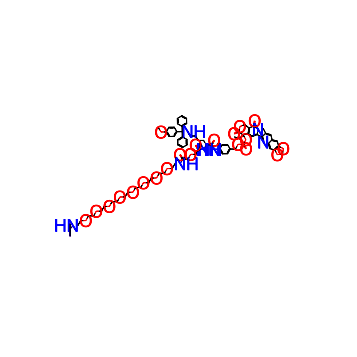 CC[C@@]1(OC(=O)OCc2ccc(NC(=O)[C@H](CCCCNC(c3ccccc3)(c3ccccc3)c3ccc(OC)cc3)NC(=O)COCC(=O)NCCOCCOCCOCCOCCOCCOCCOCCOCCNI)cc2)C(=O)OCc2c1cc1n(c2=O)Cc2cc3cc4c(cc3nc2-1)OCO4